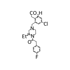 CC[C@H]1CN(Cc2cc(Cl)ccc2CC(=O)O)CCN1C(=O)Cc1ccc(F)cc1